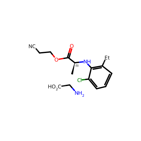 CCc1cccc(Cl)c1N[C@@H](C)C(=O)OCCC#N.NCC(=O)O